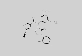 C#Cc1nc(C(=O)N(c2cc(OC)cc(OC)c2)C2CCN(c3ccc(F)cc3C)C2=O)cs1